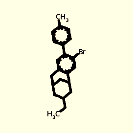 CCC1CC2Cc3cc(-c4ccc(C)cc4)c(Br)cc3C(C1)C2